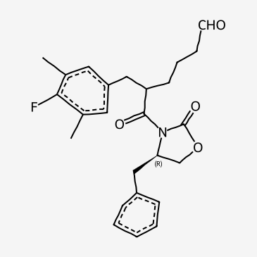 Cc1cc(CC(CCCC=O)C(=O)N2C(=O)OC[C@H]2Cc2ccccc2)cc(C)c1F